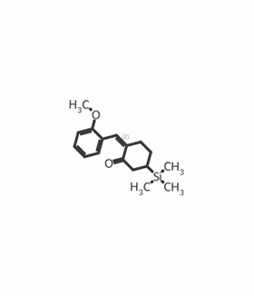 COc1ccccc1/C=C1/CCC([Si](C)(C)C)CC1=O